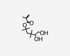 C=C(C)C(=O)OC(C)(C)CC(C)(C)C(O)CO